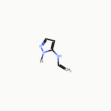 C=CNc1ccnn1CC